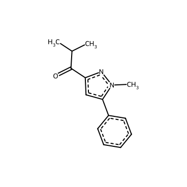 CC(C)C(=O)c1cc(-c2ccccc2)n(C)n1